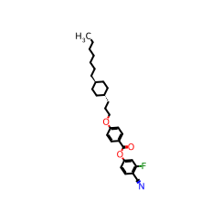 CCCCCCC[C@H]1CC[C@H](CCCOc2ccc(C(=O)Oc3ccc(C#N)c(F)c3)cc2)CC1